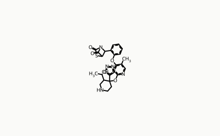 Cc1cnc(OC2(c3cnno3)CCNCC2C(C)C)nc1Oc1ccccc1C1C2SC(=O)N1C2=O